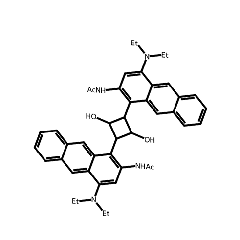 CCN(CC)c1cc(NC(C)=O)c(C2C(O)C(c3c(NC(C)=O)cc(N(CC)CC)c4cc5ccccc5cc34)C2O)c2cc3ccccc3cc12